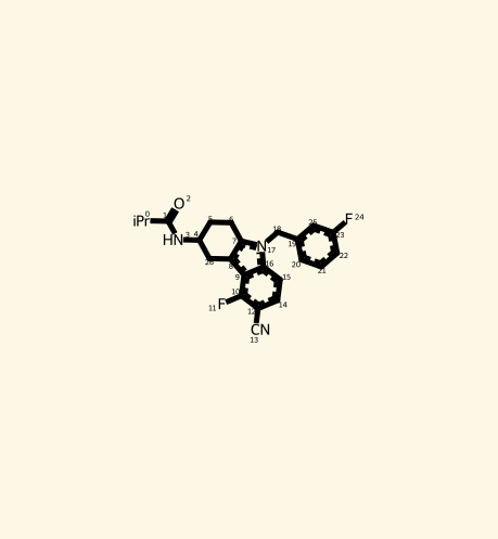 CC(C)C(=O)NC1CCc2c(c3c(F)c(C#N)ccc3n2Cc2cccc(F)c2)C1